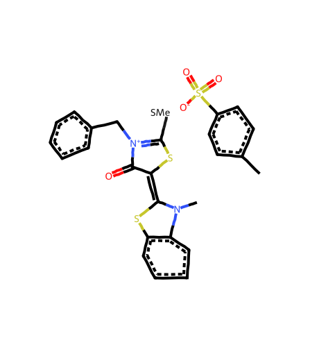 CSC1=[N+](Cc2ccccc2)C(=O)C(=C2Sc3ccccc3N2C)S1.Cc1ccc(S(=O)(=O)[O-])cc1